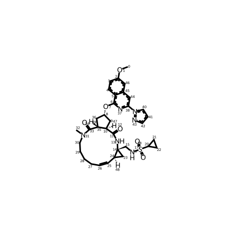 COc1ccc2c(O[C@@H]3C[C@H]4C(=O)N[C@]5(CNS(=O)(=O)C6CC6)C[C@H]5/C=C\CCCCN(C)C(=O)[C@@H]4C3)nc(-n3cccn3)cc2c1